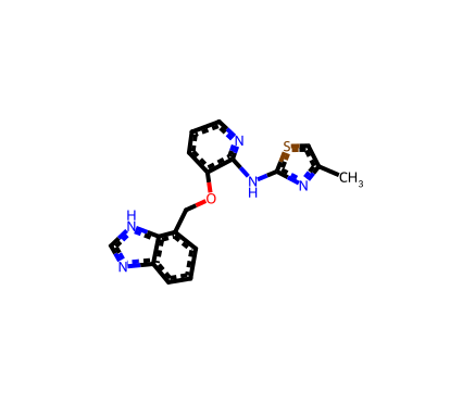 Cc1csc(Nc2ncccc2OCc2cccc3nc[nH]c23)n1